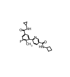 Cc1c(F)cc(C(=O)NC2CC2)cc1-c1ccc(C(=O)NC2CCC2)cn1